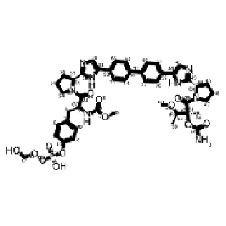 COC(=O)N[C@@H](Cc1ccc(OP(=O)(O)OOCO)cc1)C(=O)N1CCC[C@H]1c1ncc(-c2ccc(-c3ccc(-c4cnc([C@@H]5CCCN5C(=O)[C@@](C)(OC(N)=O)[C@@H](C)OC)[nH]4)cc3)cc2)[nH]1